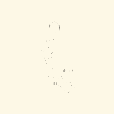 CCCCCc1c(C(=O)OCc2ccc(OCc3ccccc3)cc2)[nH]c2ccccc12